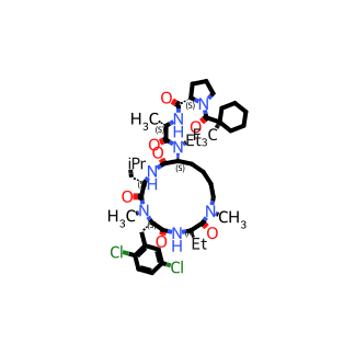 CC[C@H]1NC(=O)[C@H](Cc2cc(Cl)ccc2Cl)N(C)C(=O)[C@H](CC(C)C)NC(=O)[C@@H](N(CC)C(=O)[C@H](C)NC(=O)[C@@H]2CCCN2C(=O)C2(C(F)(F)F)CCCCC2)CCCCN(C)C1=O